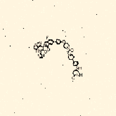 O=C1CC[C@H](Nc2ccc(C3CCN(CC(=O)N4CCC(Oc5ccc(-c6cc(F)c7c(c6)C(=O)N(C(C(=O)Nc6nccs6)c6ncn8c6CCC8)C7)cc5)CC4)CC3)cc2)CN1